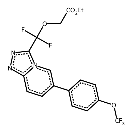 CCOC(=O)COC(F)(F)c1nnc2ccc(-c3ccc(OC(F)(F)F)cc3)cn12